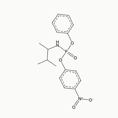 CC(C)C(C)NP(=O)(Oc1ccccc1)Oc1ccc([N+](=O)[O-])cc1